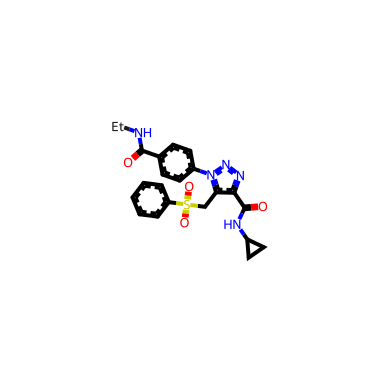 CCNC(=O)c1ccc(-n2nnc(C(=O)NC3CC3)c2CS(=O)(=O)c2ccccc2)cc1